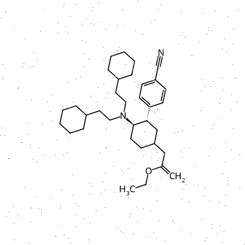 C=C(CC1CC[C@@H](N(CCC2CCCCC2)CCC2CCCCC2)[C@H](c2ccc(C#N)cc2)C1)OCC